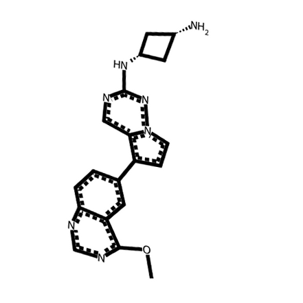 COc1ncnc2ccc(-c3ccn4nc(N[C@H]5C[C@@H](N)C5)ncc34)cc12